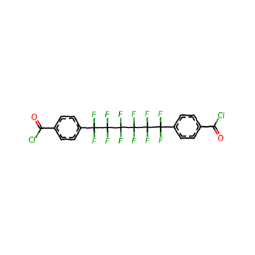 O=C(Cl)c1ccc(C(F)(F)C(F)(F)C(F)(F)C(F)(F)C(F)(F)C(F)(F)c2ccc(C(=O)Cl)cc2)cc1